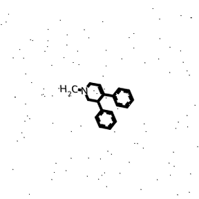 [CH2]N1CC=C(c2ccccc2)C(c2ccccc2)C1